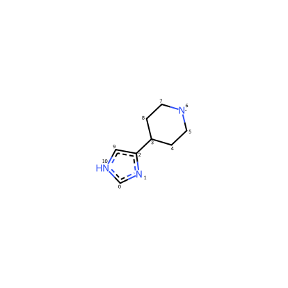 c1nc(C2CC[N]CC2)c[nH]1